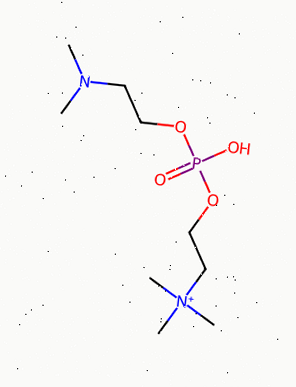 CN(C)CCOP(=O)(O)OCC[N+](C)(C)C